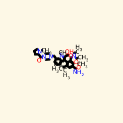 CCN(CC)Cc1c(OC)c(C(N)=O)cc(C(C)(C)C)c1-c1c(C(=O)O)n(C)c2c(CN3CCN(C(=O)C4CCCN4C)CC3)cccc12